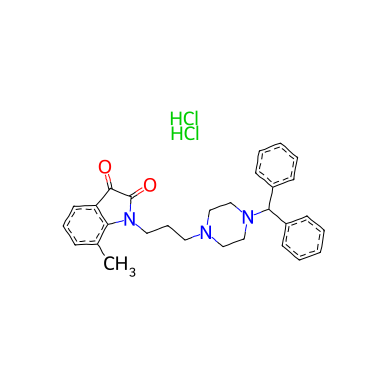 Cc1cccc2c1N(CCCN1CCN(C(c3ccccc3)c3ccccc3)CC1)C(=O)C2=O.Cl.Cl